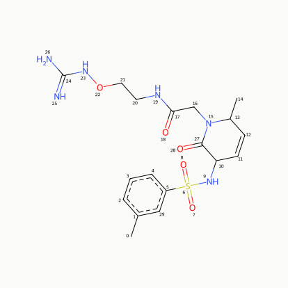 Cc1cccc(S(=O)(=O)NC2C=CC(C)N(CC(=O)NCCONC(=N)N)C2=O)c1